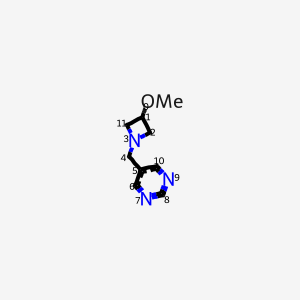 COC1CN(Cc2cncnc2)C1